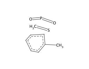 C=S.Cc1ccccc1.O=[P]=O